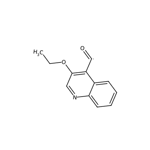 CCOc1cnc2ccccc2c1[C]=O